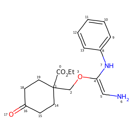 CCOC(=O)C1(CO/C(=C/N)Nc2ccccc2)CCC(=O)CC1